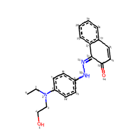 CCN(CCO)c1ccc(N/N=C2\C(=O)C=Cc3ccccc32)cc1